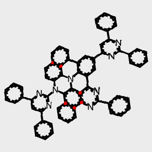 c1ccc(-c2cc(-c3cc(-c4ccccc4)c(N4c5ccccc5N(c5nc(-c6ccccc6)cc(-c6ccccc6)n5)c5ccccc54)c(-c4cc(-c5ccccc5)nc(-c5ccccc5)n4)c3)nc(-c3ccccc3)n2)cc1